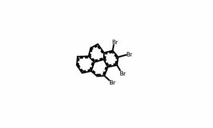 Brc1c(Br)c2ccc3cccc4cc(Br)c(c1Br)c2c34